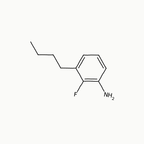 CCCCc1cccc(N)c1F